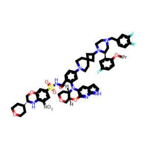 CC(C)Oc1ccc(F)cc1[C@@H]1CN(Cc2ccc(F)c(F)c2)CCN1C1CC2(CCN(c3ccc(C(=O)NS(=O)(=O)c4cc5c(c([N+](=O)[O-])c4)N[C@H](C4CCOCC4)CO5)c(N4c5cc6cc[nH]c6nc5O[C@H]5COCC[C@@H]54)c3)CC2)C1